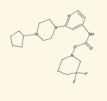 O=C(Nc1ccnc(N2CCN(C3CCCC3)CC2)c1)ON1CCCC(F)(F)C1